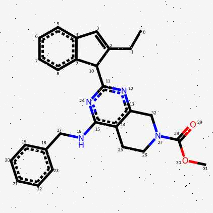 CCC1=Cc2ccccc2C1c1nc2c(c(NCc3ccccc3)n1)CCN(C(=O)OC)C2